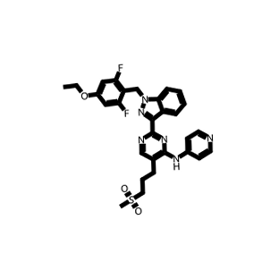 CCOc1cc(F)c(Cn2nc(-c3ncc(CCCS(C)(=O)=O)c(Nc4ccncc4)n3)c3ccccc32)c(F)c1